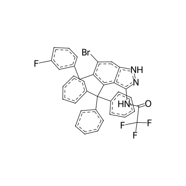 O=C(Nc1n[nH]c2cc(Br)c(Cc3cccc(F)c3)c(C(c3ccccc3)(c3ccccc3)c3ccccc3)c12)C(F)(F)F